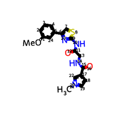 COc1cccc(-c2csc(NC(=O)CNC(=O)c3ccn(C)c3)n2)c1